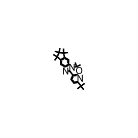 CC(C)(C)c1ccc2c(n1)OC(C)(C)n1c-2nc2cc3c(cc21)C(C)(C)C(C)(C)C3(C)C